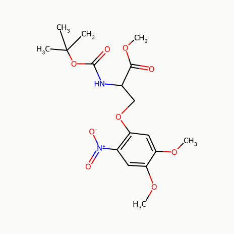 COC(=O)C(COc1cc(OC)c(OC)cc1[N+](=O)[O-])NC(=O)OC(C)(C)C